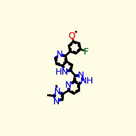 COc1cc(F)cc(-c2nccc3[nH]c(-c4n[nH]c5ccc(-c6cnc(C)n6C)nc45)cc23)c1